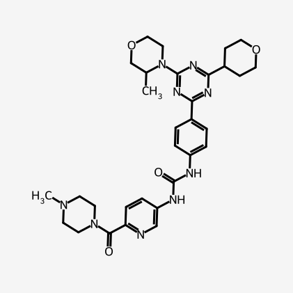 CC1COCCN1c1nc(-c2ccc(NC(=O)Nc3ccc(C(=O)N4CCN(C)CC4)nc3)cc2)nc(C2CCOCC2)n1